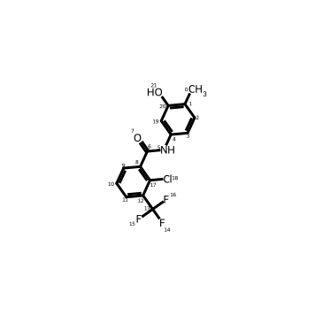 Cc1ccc(NC(=O)c2cccc(C(F)(F)F)c2Cl)cc1O